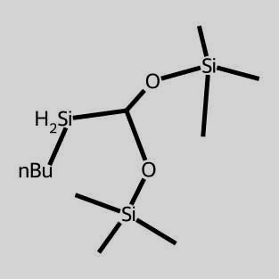 CCCC[SiH2]C(O[Si](C)(C)C)O[Si](C)(C)C